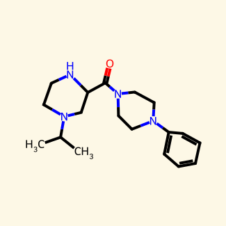 CC(C)N1CCNC(C(=O)N2CCN(c3ccccc3)CC2)C1